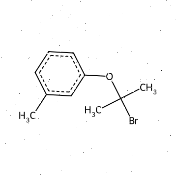 Cc1cccc(OC(C)(C)Br)c1